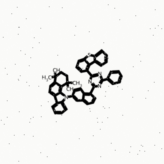 CC1(C)CCC(C)(C)c2c1ccc1c3ccccc3n(-c3ccc4c(-c5nc(-c6ccccc6)nc(-c6cccc7sc8ccccc8c67)n5)cccc4c3)c21